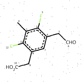 Cc1c(F)c(CC=O)cc(CC(=O)O)c1F